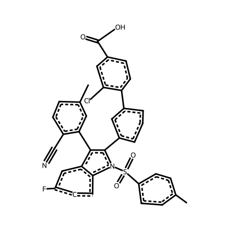 Cc1ccc(S(=O)(=O)n2c(-c3cccc(-c4ccc(C(=O)O)cc4Cl)c3)c(-c3cc(C)ccc3C#N)c3cc(F)ccc32)cc1